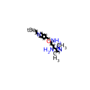 Cc1cnn(C)c1/C(N)=C/C=C(\N)OCC1CC2CN(CCC(C)(C)C)CC2C1